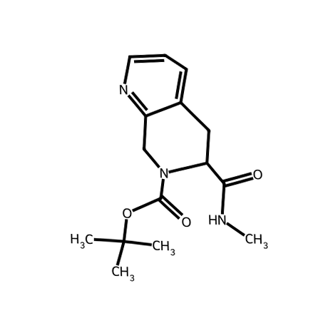 CNC(=O)C1Cc2cccnc2CN1C(=O)OC(C)(C)C